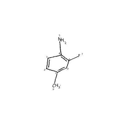 [CH2]c1ccc(N)c(F)c1